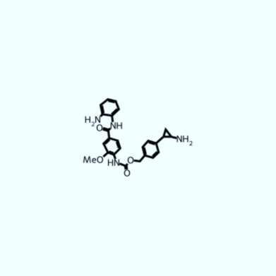 COc1cc(C(=O)Nc2ccccc2N)ccc1NC(=O)OCc1ccc(C2CC2N)cc1